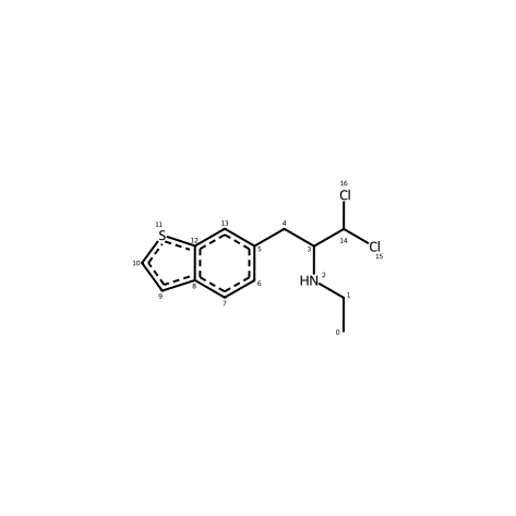 CCNC(Cc1ccc2ccsc2c1)C(Cl)Cl